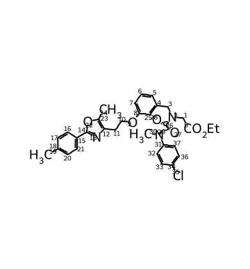 CCOC(=O)CN(Cc1cccc(OCCc2nc(-c3ccc(C)cc3)oc2C)c1)S(=O)(=O)N(C)c1ccc(Cl)cc1